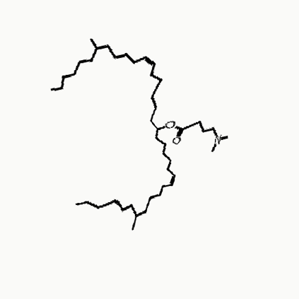 CCCCCCC(C)CCCC/C=C\CCCCCC(CCCCC/C=C\CCCCC(C)CCCCCC)OC(=O)CCCN(C)C